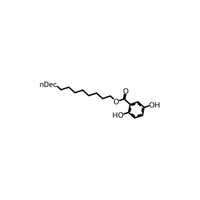 CCCCCCCCCCCCCCCCCCOC(=O)c1cc(O)ccc1O